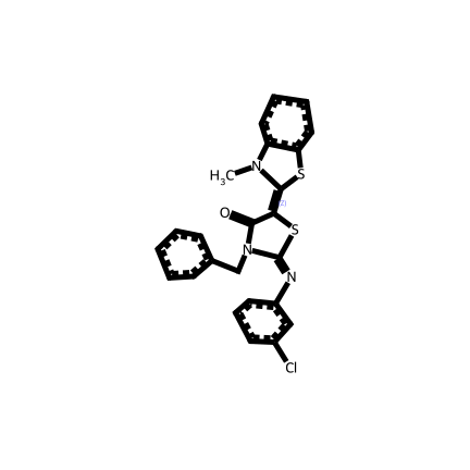 CN1/C(=C2/SC(=Nc3cccc(Cl)c3)N(Cc3ccccc3)C2=O)Sc2ccccc21